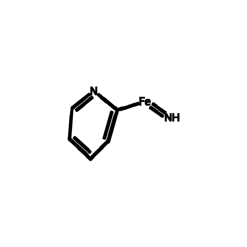 [NH]=[Fe][c]1ccccn1